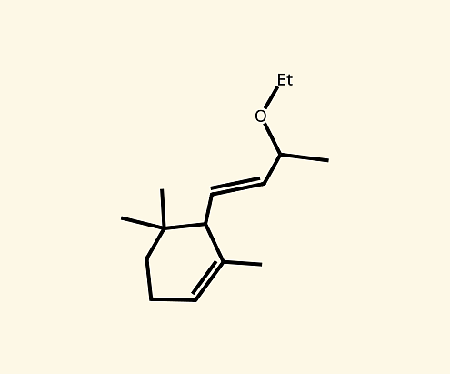 CCOC(C)C=CC1C(C)=CCCC1(C)C